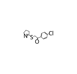 O=C(CSC1=NCCC1)c1ccc(Cl)cc1